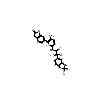 Cc1ccc(NC(=O)C(C)(C)c2ccc3c(c2)OC(F)(F)O3)nc1-c1ccc2c(c1)NC(=O)C2